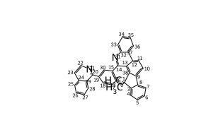 CC1(C)c2ccccc2-c2ccc3c(c(-c4cccc(-c5nccc6ccccc56)c4)nc4ccccc43)c21